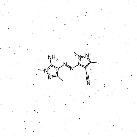 Cc1nn(C)c(/N=N/c2c(C)nn(C)c2N)c1C#N